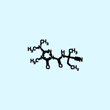 CCC(C)(C#N)NC(=O)n1nc(N(C)C)n(C)c1=O